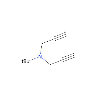 C#CCN(CC#C)C(C)(C)C